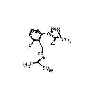 CSC(C)=NOCc1c(F)cccc1-n1nnn(C)c1=O